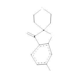 O=C1c2ccc(Cl)cc2OC12CCNCC2